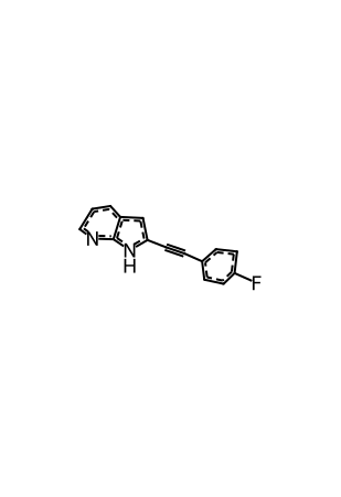 Fc1ccc(C#Cc2cc3cccnc3[nH]2)cc1